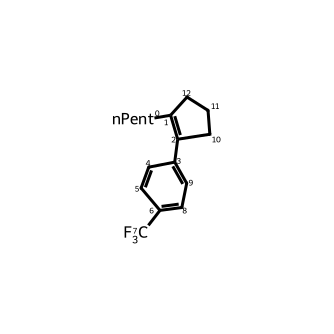 CCCCCC1=C(c2ccc(C(F)(F)F)cc2)CCC1